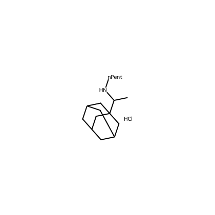 CCCCCNC(C)C12CC3CC(CC(C3)C1)C2.Cl